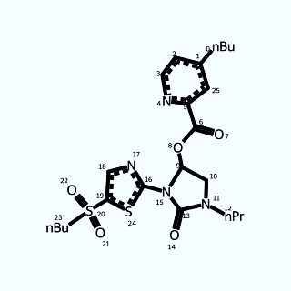 CCCCc1ccnc(C(=O)OC2CN(CCC)C(=O)N2c2ncc(S(=O)(=O)CCCC)s2)c1